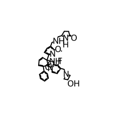 COc1nc(C2(Nc3nccc(CN4CC(O)C4)c3F)C=CC=C(c3ccccc3)C2(Cl)Cl)ccc1CNCC1CCC(=O)N1